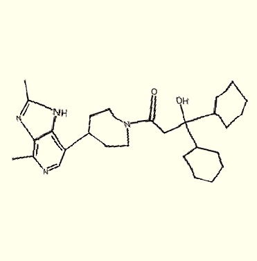 Cc1nc2c(C)ncc(C3CCN(C(=O)CC(O)(C4CCCCC4)C4CCCCC4)CC3)c2[nH]1